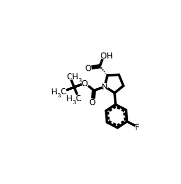 CC(C)(C)OC(=O)N1C(c2cccc(F)c2)CC[C@H]1C(=O)O